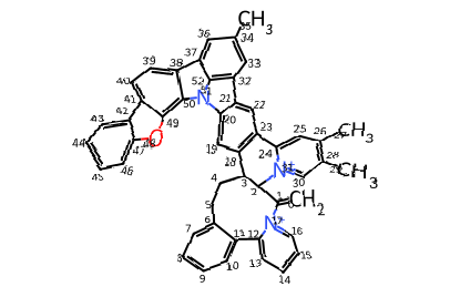 C=C1C2C(CCc3ccccc3-c3cccc[n+]31)c1cc3c(cc1-c1cc(C)c(C)c[n+]12)c1cc(C)cc2c4ccc5c6ccccc6oc5c4n3c12